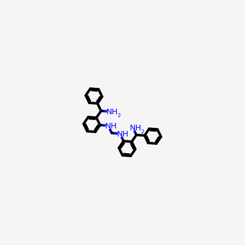 NC(c1ccccc1)c1ccccc1NCNc1ccccc1C(N)c1ccccc1